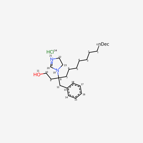 CCCCCCCCCCCCCCCCCC(CCO)(Cc1ccccc1)N1C=NCC1.Cl